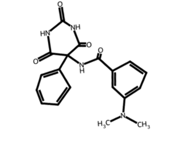 CN(C)c1cccc(C(=O)NC2(c3ccccc3)C(=O)NC(=O)NC2=O)c1